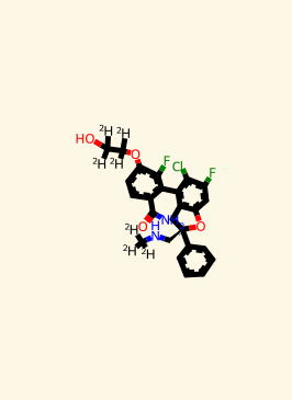 [2H]C([2H])([2H])NC[C@@]1(c2ccccc2)Cc2c(cc(F)c(Cl)c2-c2c(C(N)=O)ccc(OC([2H])([2H])C([2H])([2H])O)c2F)O1